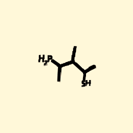 CC(P)C(C)C(C)S